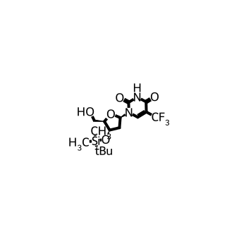 CC(C)(C)[Si](C)(C)O[C@H]1C[C@H](n2cc(C(F)(F)F)c(=O)[nH]c2=O)O[C@@H]1CO